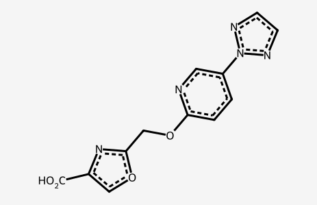 O=C(O)c1coc(COc2ccc(-n3nccn3)cn2)n1